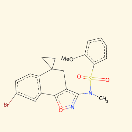 COc1ccccc1S(=O)(=O)N(C)c1noc2c1CC1(CC1)c1ccc(Br)cc1-2